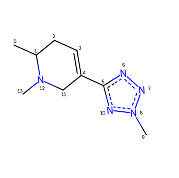 CC1CC=C(c2nnn(C)n2)CN1C